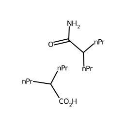 CCCC(CCC)C(=O)O.CCCC(CCC)C(N)=O